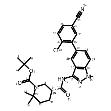 CC(C)(C)OC(=O)N1C[C@H](C(=O)Nc2n[nH]c3ccc(-c4cc(C#N)ccc4Cl)cc23)CCC1(C)C